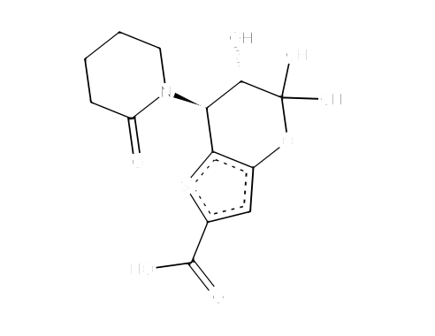 CC1(C)Oc2cc(C(=O)O)sc2[C@@H](N2CCCCC2=O)[C@@H]1O